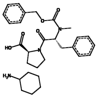 CN(C(=O)OCc1ccccc1)[C@H](Cc1ccccc1)C(=O)N1CCC[C@H]1C(=O)O.NC1CCCCC1